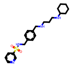 O=S(=O)(NCc1ccc(CNCCCNC2CCCCC2)cc1)c1cccnc1